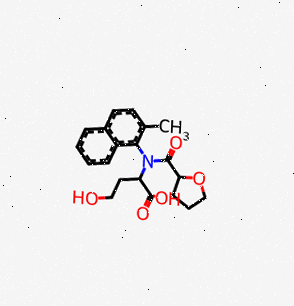 Cc1ccc2ccccc2c1N(C(=O)C1CCCO1)C(CCO)C(=O)O